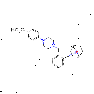 O=C(O)c1ccc(N2CCN(Cc3ccccc3N3CC4CCC(CC4)C3)CC2)cc1